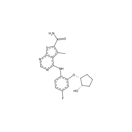 Cc1c(C(N)=O)sc2ncnc(Nc3ccc(F)cc3O[C@@H]3CCC[C@@H]3O)c12